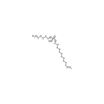 CCCCCCCCCCCCOP(=O)(O)OCCCCCC